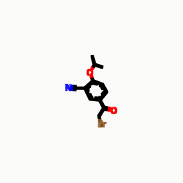 CC(C)Oc1ccc(C(=O)CBr)cc1C#N